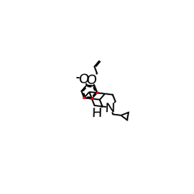 C=CCOC1C[C@]23CCN(CC4CC4)[C@H](Cc4ccc(OC)cc42)C3C2CC12